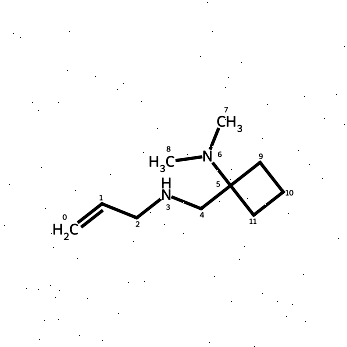 C=CCNCC1(N(C)C)CCC1